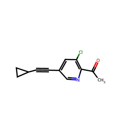 CC(=O)c1ncc(C#CC2CC2)cc1Cl